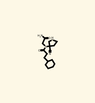 N#CC1(N(CC(N)=O)C(=O)[CH]CC2CCCCC2)CCNC1